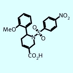 COc1ccccc1C1CC=C(C(=O)O)CN1S(=O)(=O)c1ccc([N+](=O)[O-])cc1